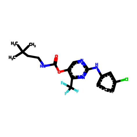 CC(C)(C)CCNC(=O)Oc1cnc(Nc2cccc(Cl)c2)nc1C(F)(F)F